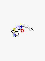 CCCCCC(C)NC(=O)C1CSC23C=CC=CC2=NCCC13